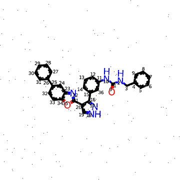 O=C(NCc1ccccc1)Nc1cccc(-c2n[nH]cc2-c2nc3cc(-c4ccccc4)ccc3o2)c1